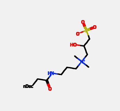 CCCCCCCCCCCC(=O)NCCC[N+](C)(C)CC(O)CS(=O)(=O)[O-]